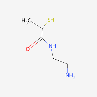 CC(S)C(=O)NCCN